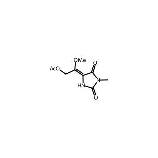 COC(COC(C)=O)=C1NC(=O)N(C)C1=O